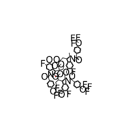 CCCC(C(=O)OC(CC)(C(=O)OC(=O)Cc1c(C)n(C(=O)c2ccc(OC(F)(F)F)cc2)c2cc(F)c(OC)cc12)c1c(C)n(C(=O)c2ccc(OC(F)(F)F)cc2)c2cc(F)c(OC)cc12)c1c(C)n(C(=O)c2ccc(OC(F)(F)F)cc2)c2cc(F)c(OC)cc12